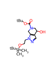 CC(C)(C)OC(=O)N1Cc2c(cnn2CCO[Si](C)(C)C(C)(C)C)C(O)C1